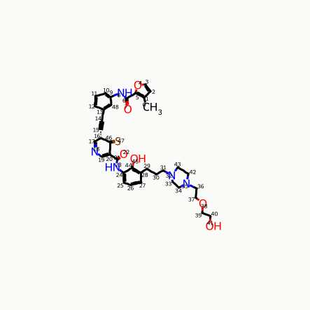 Cc1ccoc1C(=O)Nc1cccc(C#C[C@H]2C=NC=C(C(=O)Nc3cccc(CCCN4CCN(CCOCCO)CC4)c3O)C2=S)c1